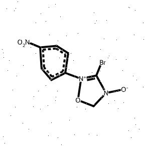 O=[N+]([O-])c1ccc([N+]2=C(Br)N([O-])CO2)cc1